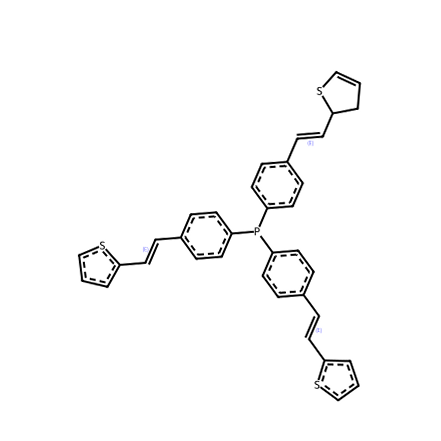 C1=CSC(/C=C/c2ccc(P(c3ccc(/C=C/c4cccs4)cc3)c3ccc(/C=C/c4cccs4)cc3)cc2)C1